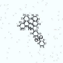 O=S(=O)(c1ccccc1)c1ccc(-c2nc3c4ccccc4c4ccccc4c3c3c2ccc2ccccc23)cc1